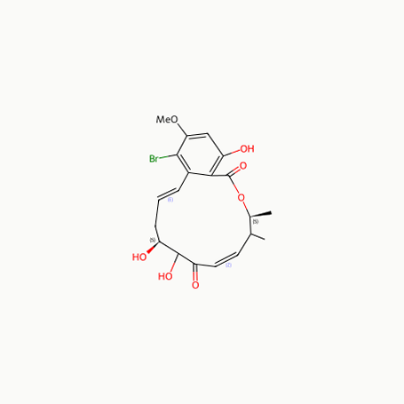 COc1cc(O)c2c(c1Br)/C=C/C[C@H](O)C(O)C(=O)/C=C\C(C)[C@H](C)OC2=O